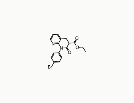 CCOC(=O)C1Cc2cccnc2N(c2ccc(Br)cc2)C1=O